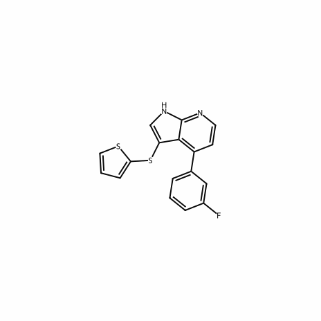 Fc1cccc(-c2ccnc3[nH]cc(Sc4cccs4)c23)c1